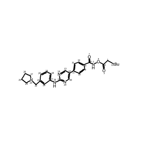 CC(C)(C)CC(=O)ONC(=O)c1ccc(-c2cnc(Nc3cccc(CN4CCCC4)c3)nc2)cc1